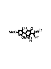 CCCC(=NOCC)C1=C(O)CC(c2c(C)cc(OC)nc2OC)CC1=O